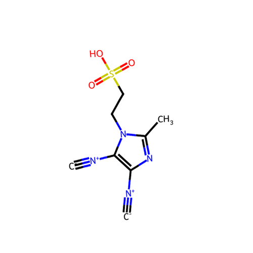 [C-]#[N+]c1nc(C)n(CCS(=O)(=O)O)c1[N+]#[C-]